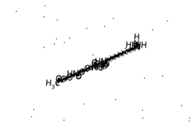 CC(=O)COCCOCCNC(=O)COCCOCCNC(=O)CC[C@H](NC(=O)CCCCCCCCCCCCCCC1=NNNN1)C(=O)O